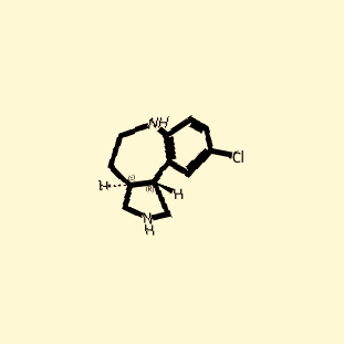 Clc1ccc2c(c1)[C@@H]1CNC[C@H]1CCN2